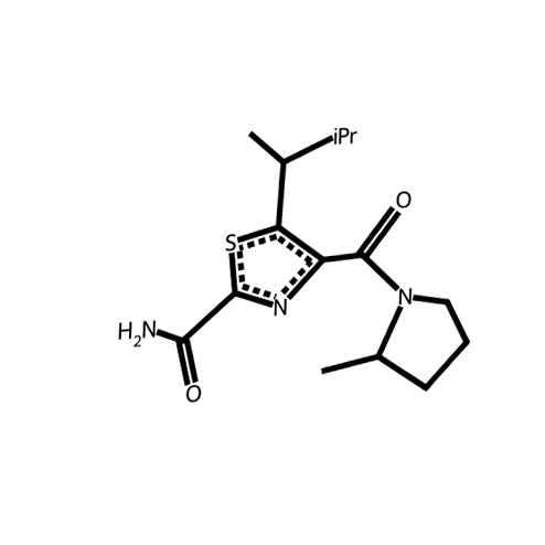 CC(C)C(C)c1sc(C(N)=O)nc1C(=O)N1CCCC1C